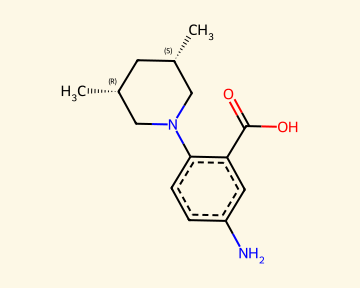 C[C@@H]1C[C@H](C)CN(c2ccc(N)cc2C(=O)O)C1